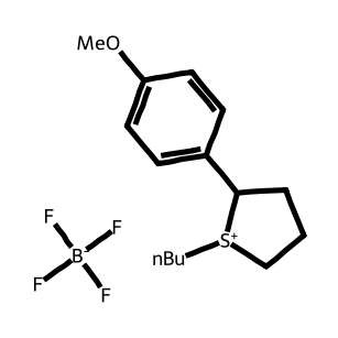 CCCC[S+]1CCCC1c1ccc(OC)cc1.F[B-](F)(F)F